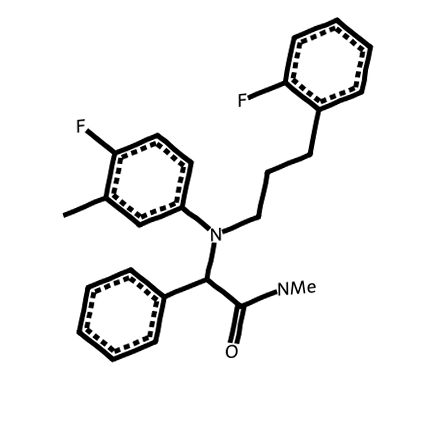 CNC(=O)C(c1ccccc1)N(CCCc1ccccc1F)c1ccc(F)c(C)c1